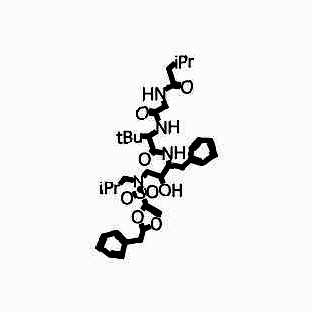 CC(C)CC(=O)NCC(=O)NC(C(=O)NC(Cc1ccccc1)C(O)CN(CC(C)C)S(=O)(=O)C1=COC(Cc2ccccc2)O1)C(C)(C)C